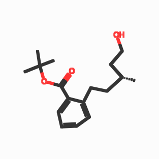 C[C@@H](CCO)CCc1ccccc1C(=O)OC(C)(C)C